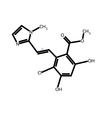 COC(=O)c1c(O)cc(O)c(Cl)c1/C=C/c1nccn1C